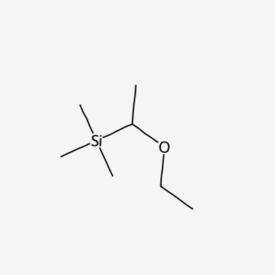 CCOC(C)[Si](C)(C)C